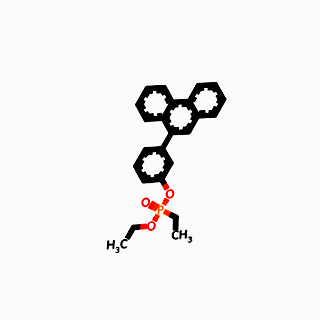 CCOP(=O)(CC)Oc1cccc(-c2cc3ccccc3c3ccccc23)c1